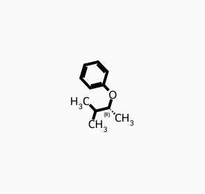 CC(C)[C@@H](C)Oc1ccccc1